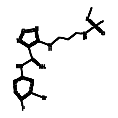 CN=S(C)(=O)NCCCNc1nonc1C(=N)Nc1ccc(F)c(Br)c1